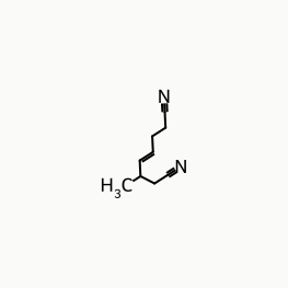 CC(C=CCCC#N)CC#N